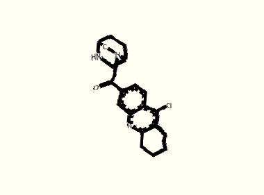 O=C(c1ccc2c(Cl)c3c(nc2c1)CCCC3)N1CC2CCC1CN2